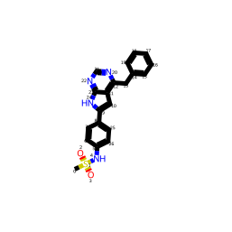 CS(=O)(=O)Nc1ccc(-c2cc3c(Cc4ccccc4)ncnc3[nH]2)cc1